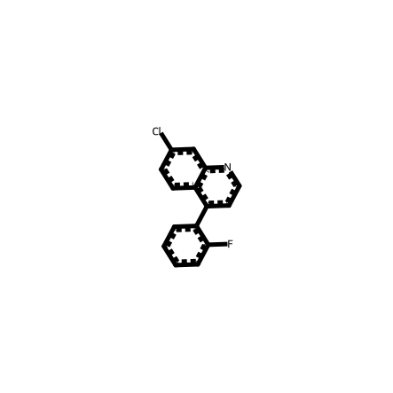 Fc1ccccc1-c1ccnc2cc(Cl)ccc12